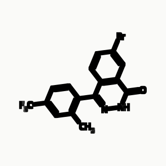 Cc1cc(C(F)(F)F)ccc1-c1n[nH]c(=O)c2cc(Br)ccc12